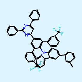 Cc1cccc(-c2ccc3c(c2)c2ccccc2n3-c2c(-c3cccc(C(F)(F)F)c3)cc(-c3cc(-c4ccccc4)nc(-c4ccccc4)n3)cc2-c2cccc(C(F)(F)F)c2)c1